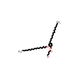 CCCCCCCCCCCCCCCCCCOc1cc(CCCCCCCCCCCCCCC)ccc1COC(=O)CCCBr